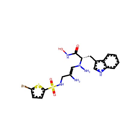 N/C(=C\N(N)[C@@H](Cc1c[nH]c2ccccc12)C(=O)NO)CNS(=O)(=O)c1ccc(Br)s1